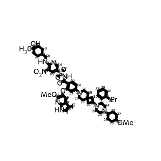 COc1nc2[nH]cc(F)c2cc1Oc1cc(N2CCC3(CC2)CC(N2CCN(C4CCC(OC)CC4)C[C@H]2c2ccccc2C(C)C)C3)ccc1C(=O)NS(=O)(=O)c1cnc(NCC2CCC(C)(O)CC2)c([N+](=O)[O-])c1